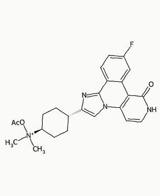 CC(=O)O[N+](C)(C)[C@H]1CC[C@H](c2cn3c4cc[nH]c(=O)c4c4cc(F)ccc4c3n2)CC1